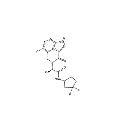 CC(C)[C@H](C(=O)NC1CCC(F)(F)C1)N1Cc2c(F)cnc3[nH]cc(c23)C1=O